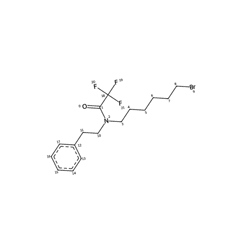 O=C(N(CCCCCCBr)CCc1ccccc1)C(F)(F)F